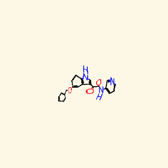 O=C(Nc1cccnc1)C(=O)c1c[nH]c2ccc(OCc3ccccc3)cc12